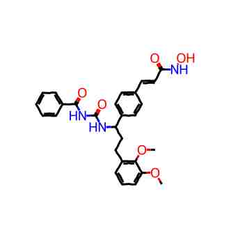 COc1cccc(CCC(NC(=O)NC(=O)c2ccccc2)c2ccc(C=CC(=O)NO)cc2)c1OC